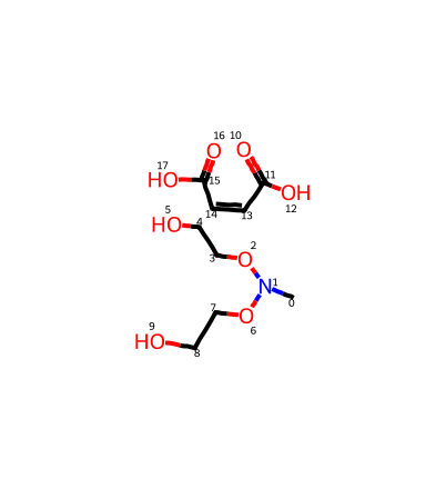 CN(OCCO)OCCO.O=C(O)/C=C\C(=O)O